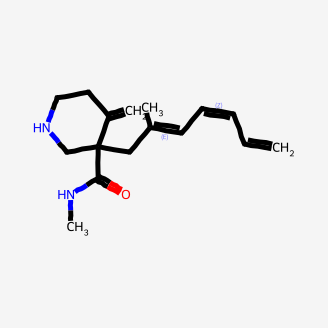 C=C/C=C\C=C(/C)CC1(C(=O)NC)CNCCC1=C